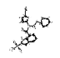 NS(=O)(=O)c1cc2cccc(C(=O)N(OCc3ccccc3)c3ncc(Br)s3)c2s1